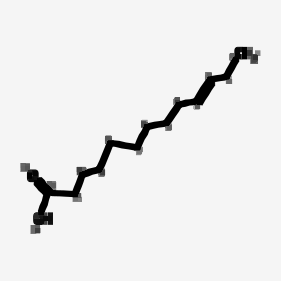 [CH2]CC=CCCCCCCCCC(=O)O